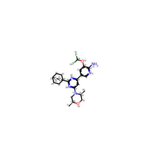 C[C@H]1CN(c2cc(-c3cnc(N)c(OC(F)F)c3)nc(C34CCC(CC3)CC4)n2)[C@@H](C)CO1